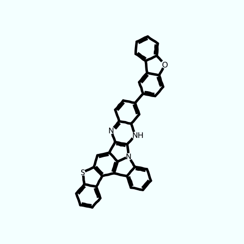 C1=CC2=Nc3c(n4c5ccccc5c5c6c(cc3c54)sc3ccccc36)NC2C=C1c1ccc2oc3ccccc3c2c1